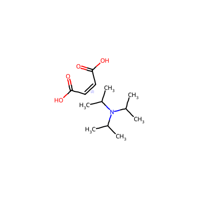 CC(C)N(C(C)C)C(C)C.O=C(O)/C=C\C(=O)O